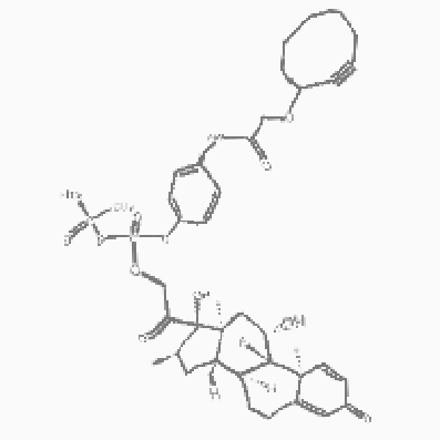 C[C@@H]1C[C@H]2[C@@H]3CCC4=CC(=O)C=C[C@]4(C)[C@@]3(F)[C@@H](O)C[C@]2(C)[C@@]1(O)C(=O)COP(=O)(Oc1ccc(NC(=O)COC2C#CCCCCC2)cc1)OP(=O)(O)O